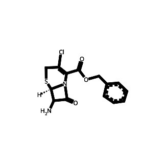 NC1C(=O)N2C(C(=O)OCc3ccccc3)=C(Cl)CS[C@H]12